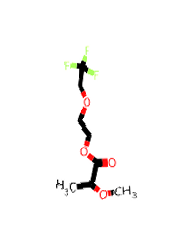 COC(C)C(=O)OCCOCC(F)(F)F